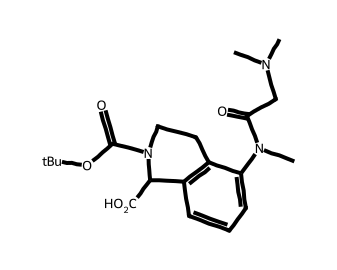 CN(C)CC(=O)N(C)c1cccc2c1CCN(C(=O)OC(C)(C)C)C2C(=O)O